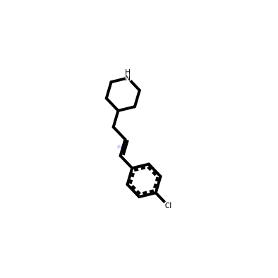 Clc1ccc(/C=C/CC2CCNCC2)cc1